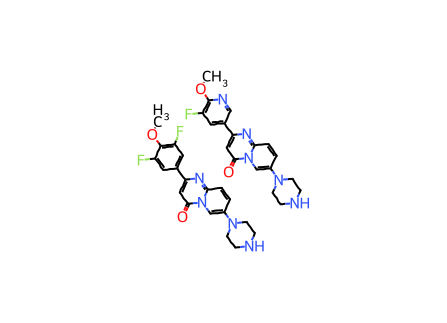 COc1c(F)cc(-c2cc(=O)n3cc(N4CCNCC4)ccc3n2)cc1F.COc1ncc(-c2cc(=O)n3cc(N4CCNCC4)ccc3n2)cc1F